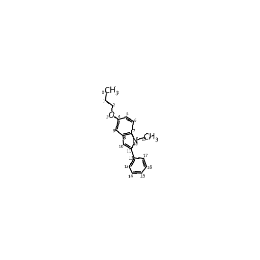 CCCOc1ccc2c(c1)cc(-c1ccccc1)n2C